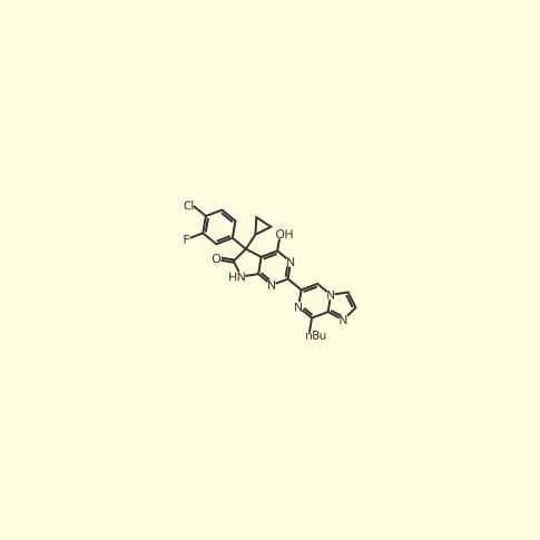 CCCCc1nc(-c2nc(O)c3c(n2)NC(=O)C3(c2ccc(Cl)c(F)c2)C2CC2)cn2ccnc12